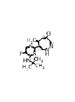 C=C1/C=C(Cl)\C=N/N/C=C\1c1ncc(F)c(NC(C)(C)C)n1